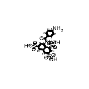 Nc1ccc(C(=O)Nc2cc(S(=O)(=O)O)cc3cc(S(=O)(=O)O)cc(S(=O)(=O)O)c23)cc1